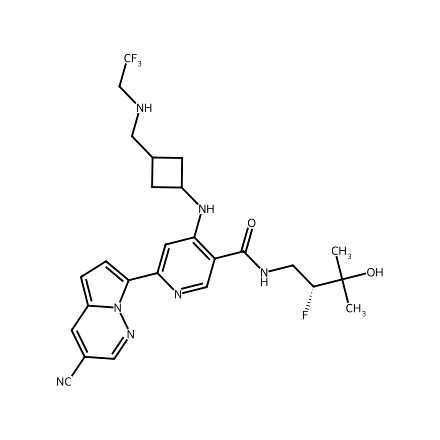 CC(C)(O)[C@H](F)CNC(=O)c1cnc(-c2ccc3cc(C#N)cnn23)cc1NC1CC(CNCC(F)(F)F)C1